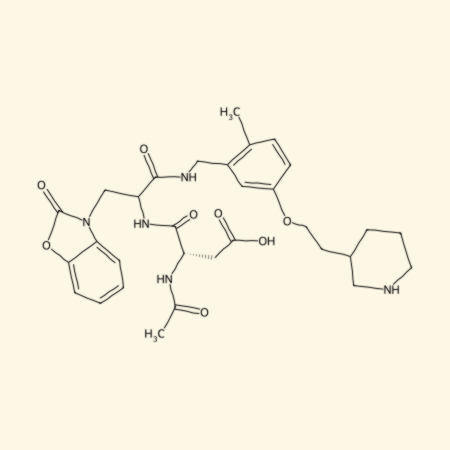 CC(=O)N[C@@H](CC(=O)O)C(=O)NC(Cn1c(=O)oc2ccccc21)C(=O)NCc1cc(OCCC2CCCNC2)ccc1C